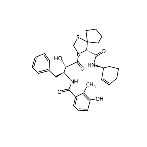 Cc1c(O)cccc1C(=O)N[C@@H](Cc1ccccc1)[C@H](O)C(=O)N1CSC2(CCCC2)[C@@H]1C(=O)N[C@@H]1C=CCCC1